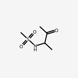 C[C](NS(C)(=O)=O)C(C)=O